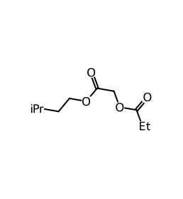 CCC(=O)OCC(=O)OCCC(C)C